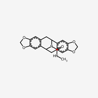 CNC(=O)N1C2Cc3cc4c(cc3C1Cc1cc3c(cc12)OCO3)OCO4